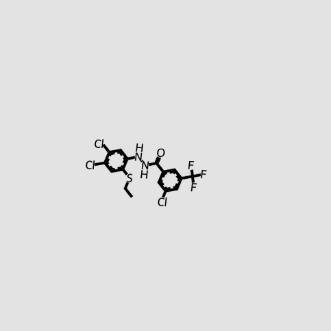 CCSc1cc(Cl)c(Cl)cc1NNC(=O)c1cc(Cl)cc(C(F)(F)F)c1